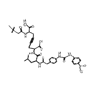 CC(C)CC(NC(=O)Cc1ccc(NC(=O)Nc2ccc([N+](=O)[O-])cc2)cc1)C(=O)NC(CC#CCC(NC(=O)CC(C)(C)C)C(=O)O)C(=O)O